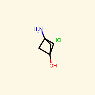 Cl.NC12CC(O)(C1)C2